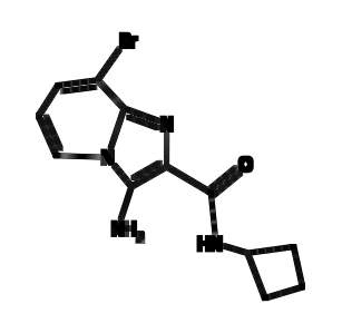 Nc1c(C(=O)NC2CCC2)nc2c(Br)cccn12